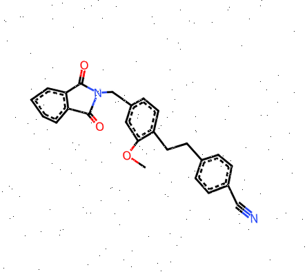 COc1cc(CN2C(=O)c3ccccc3C2=O)ccc1CCc1ccc(C#N)cc1